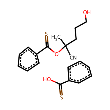 CC(C#N)(CCCO)OC(=S)c1ccccc1.OC(=S)c1ccccc1